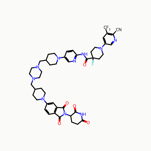 N#Cc1ncc(N2CCC(F)(C(=O)Nc3ccc(N4CCC(CN5CCN(CC6CCN(c7ccc8c(c7)C(=O)N(C7CCC(=O)NC7=O)C8=O)CC6)CC5)CC4)cn3)CC2)cc1C(F)(F)F